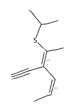 C#CC(/C=C\C)=C(/C)SC(C)C